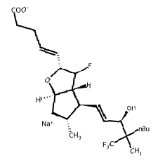 CCCCC(C)([C@H](O)/C=C/[C@@H]1[C@H]2C(F)[C@@H](/C=C/CCC(=O)[O-])O[C@@H]2C[C@H]1C)C(F)(F)F.[Na+]